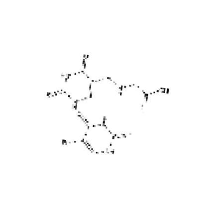 O=C(O)CNCc1c[nH]c(=S)[nH]c1=O.O=c1[nH]cc(Br)c(=O)[nH]1